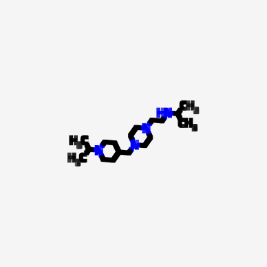 CC(C)NCCN1CCN(CC2CCN(C(C)C)CC2)CC1